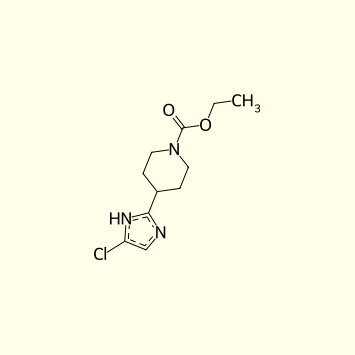 CCOC(=O)N1CCC(c2ncc(Cl)[nH]2)CC1